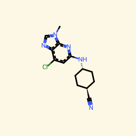 Cn1cnc2c(Cl)cc(N[C@H]3CC[C@H](C#N)CC3)nc21